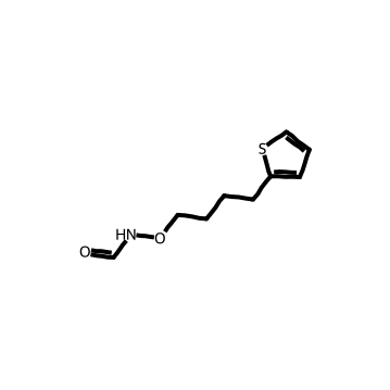 O=CNOCCCCc1cccs1